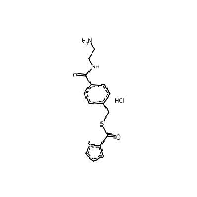 Cl.NCCNC(=O)c1ccc(CSC(=O)c2cccs2)cc1